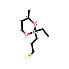 CC[Si]1(CCCS)OCCC(C)O1